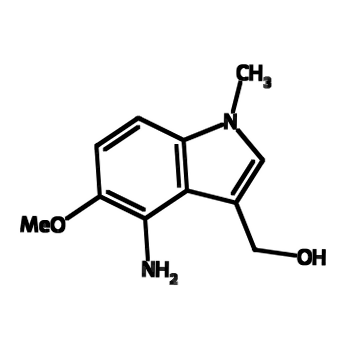 COc1ccc2c(c(CO)cn2C)c1N